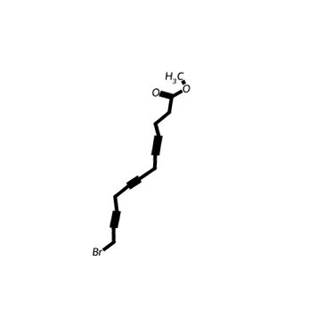 COC(=O)CCC#CCC#CCC#CCBr